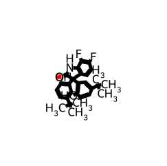 CC(C)(C)c1ccc(O)c(C2(c3cc(C(C)(C)C)ccc3O)C(=O)Nc3c2ccc(F)c3F)c1